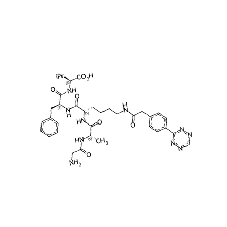 CC(C)[C@H](NC(=O)[C@H](Cc1ccccc1)NC(=O)[C@H](CCCCNC(=O)Cc1ccc(-c2nncnn2)cc1)NC(=O)[C@H](C)NC(=O)CN)C(=O)O